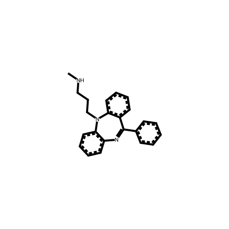 CNCCCN1c2ccccc2N=C(c2ccccc2)c2ccccc21